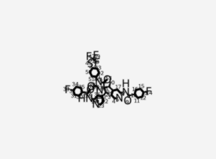 CC(c1ccnc(NC(=O)c2ccc(F)cc2)c1)C1(C(C)c2ccnc(NC(=O)c3ccc(F)cc3)c2)NC(=O)N(c2ccc(SC(F)(F)F)cc2)C1=O